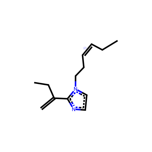 C=C(CC)c1nccn1CC/C=C\CC